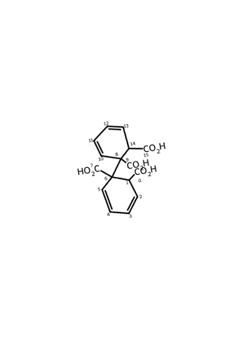 O=C(O)C1C=CC=CC1(C(=O)O)C1(C(=O)O)C=CC=CC1C(=O)O